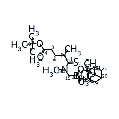 C[C@@H](CCC(=O)OC(C)(C)C)C(=S)N(C)CB1OC2CC3CC(C3(C)C)[C@@]2(C)O1